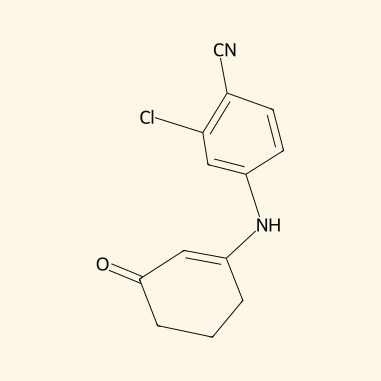 N#Cc1ccc(NC2=CC(=O)CCC2)cc1Cl